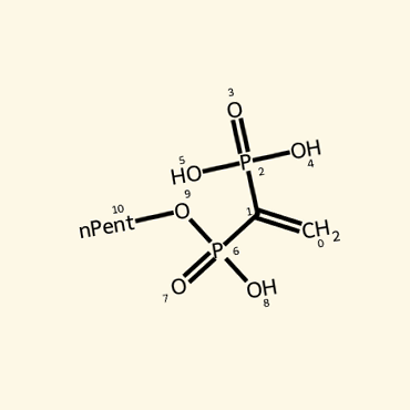 C=C(P(=O)(O)O)P(=O)(O)OCCCCC